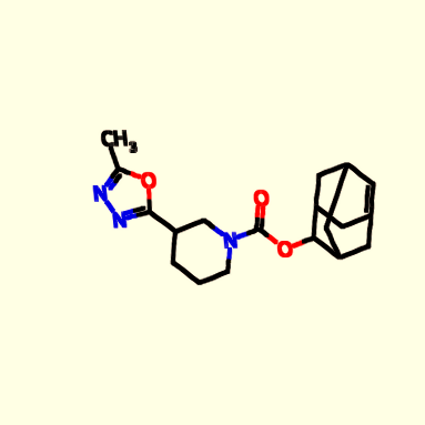 Cc1nnc(C2CCCN(C(=O)OC3C4CC5=CC(C4)CC3C5)C2)o1